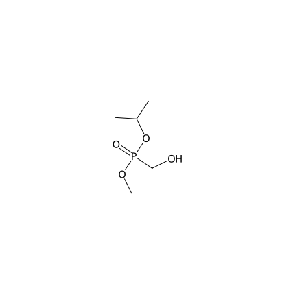 COP(=O)(CO)OC(C)C